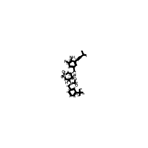 CC(C)C#Cc1cc(C[C@@H]2CS(=O)(=O)C[C@H]3[C@H]2OC(=O)N3Cc2cccc(C(C)(C)C)c2)cc(F)c1N